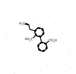 C=CCc1cccc(-c2ccccc2C(=O)O)c1C(=O)O